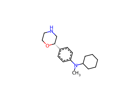 CN(c1ccc([C@H]2CNCCO2)cc1)C1CCCCC1